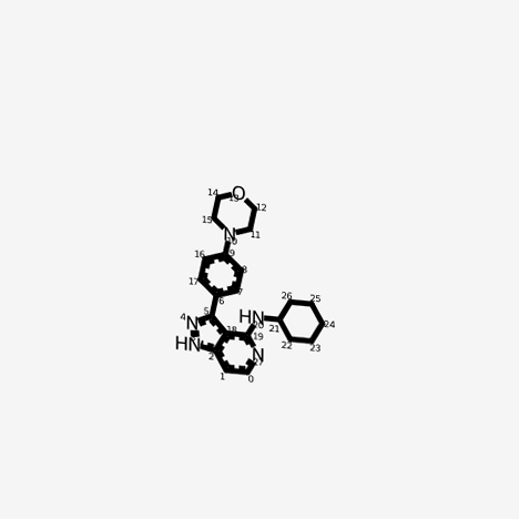 c1cc2[nH]nc(-c3ccc(N4CCOCC4)cc3)c2c(NC2CCCCC2)n1